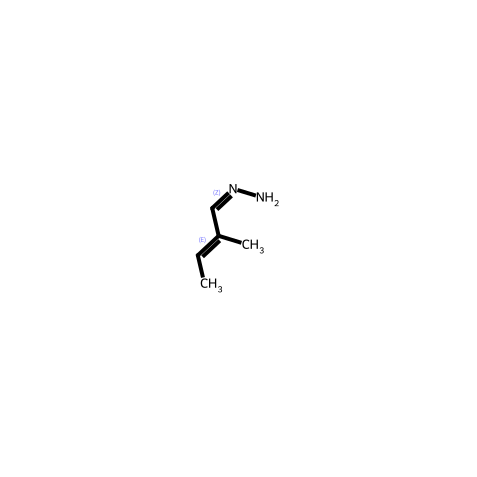 C/C=C(C)/C=N\N